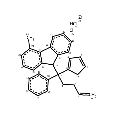 C=CCCC(C1=CC=CC1)(c1ccccc1)C1c2ccccc2-c2c(C)cccc21.Cl.Cl.[Zr]